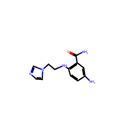 NC(=O)c1cc(N)ccc1NCCn1ccnc1